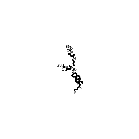 CC(C)CCC[C@@H](C)[C@H]1CC[C@H]2[C@@H]3CC=C4C[C@@H](OC(=O)N(CCCCNC(C)CC(C)NC(=O)OC(C)(C)C)C(C)CC(C)NC(=O)OC(C)(C)C)CC[C@]4(C)[C@H]3CC[C@]12C